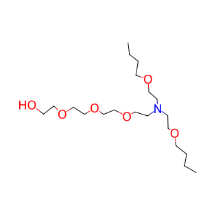 CCCCOCCN(CCOCCCC)CCOCCOCCOCCO